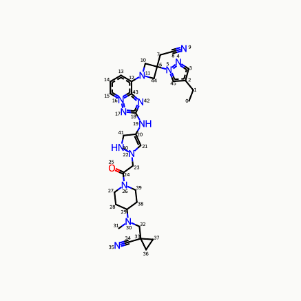 CCc1cnn(C2(CC#N)CN(c3cccn4nc(NC5=CN(CC(=O)N6CCC(N(C)CC7(C#N)CC7)CC6)NC5)nc34)C2)c1